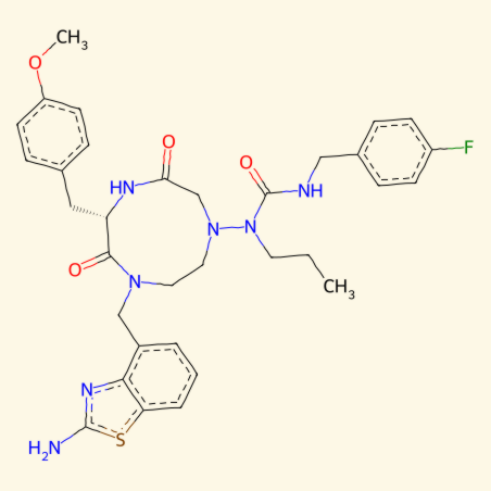 CCCN(C(=O)NCc1ccc(F)cc1)N1CCN(Cc2cccc3sc(N)nc23)C(=O)[C@H](Cc2ccc(OC)cc2)NC(=O)C1